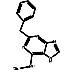 CC(C)(C)Nc1nc(Cc2ccccc2)nc2nc[nH]c12